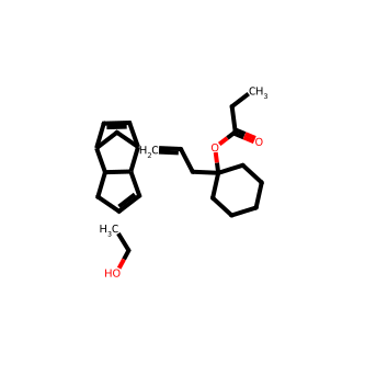 C1=CC2C3C=CC(C3)C2C1.C=CCC1(OC(=O)CC)CCCCC1.CCO